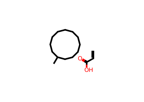 C=CC(=O)O.CC1CCCCCCCCCCC1